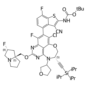 CC(C)[Si](C#C[C@H]1COc2c(Cl)c(-c3ccc(F)c4sc(NC(=O)OC(C)(C)C)c(C#N)c34)c(F)c3nc(OC[C@@]45CCCN4C[C@H](F)C5)nc(c23)N1C1CCOC1)(C(C)C)C(C)C